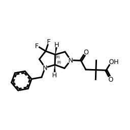 CC(C)(CC(=O)N1C[C@@H]2[C@H](C1)N(Cc1ccccc1)CC2(F)F)C(=O)O